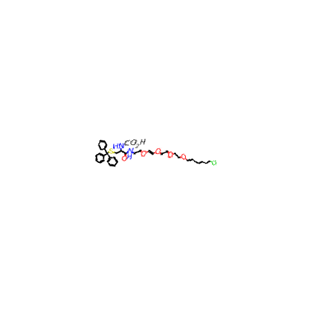 O=C(O)NC(CSC(c1ccccc1)(c1ccccc1)c1ccccc1)C(=O)NCCOCCOCCOCCOCCCCCCCl